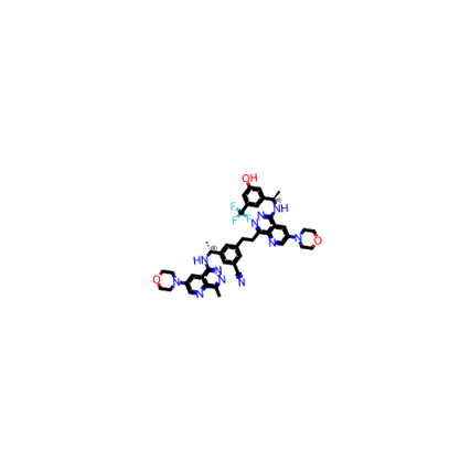 Cc1nnc(N[C@H](C)c2cc(C#N)cc(CCc3nnc(N[C@H](C)c4cc(O)cc(C(F)(F)F)c4)c4cc(N5CCOCC5)cnc34)c2)c2cc(N3CCOCC3)cnc12